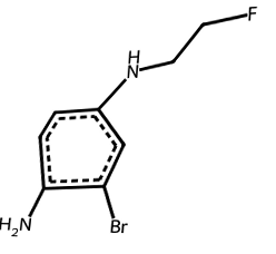 Nc1ccc(NCCF)cc1Br